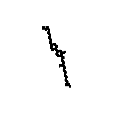 CCCCCCCCC(F)CCOc1ccc(-c2ncc(CCCCCCC)cn2)cc1F